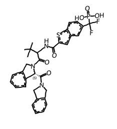 CC(C)(C)C(NC(=O)c1cc2cc(C(F)(F)P(=O)(O)O)ccc2s1)C(=O)N1Cc2ccccc2[C@H]1C(=O)N1Cc2ccccc2C1